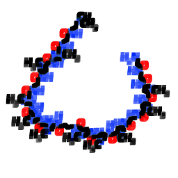 CN(C)CCCNC(=O)CCNC(=O)c1nc(NC(=O)c2cc(NC(=O)CCNC(=O)c3nc(NC(=O)c4nc(NC(=O)c5nc(NC(=O)CCCNC(=O)c6cc(NC(=O)c7cc(NC(=O)c8cc(NC(=O)CCNC(=O)c9cc(NC(=O)c%10cc(NC(=O)CCNC(=O)CCN)cn%10C)cn9C)cn8C)cn7C)cn6C)cn5C)cn4C)cn3C)cn2C)cn1C